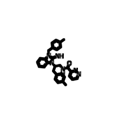 Cc1ccc(CC(CNC(=O)c2cccnn2)n2c(=N)n(Cc3ccc(C)cc3)c3ccccc32)cc1